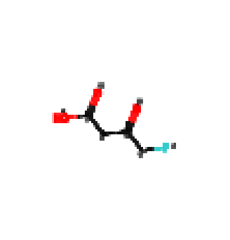 O=C(O)CC(=O)CF